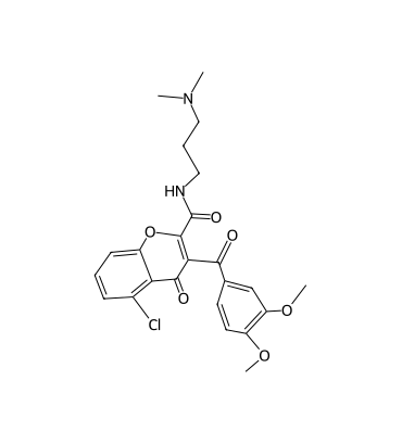 COc1ccc(C(=O)c2c(C(=O)NCCCN(C)C)oc3cccc(Cl)c3c2=O)cc1OC